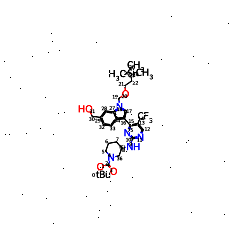 CC(C)(C)OC(=O)N1CCC[C@H](Nc2ncc(C(F)(F)F)c(-c3cn(COCC[Si](C)(C)C)c4cc(CO)ccc34)n2)C1